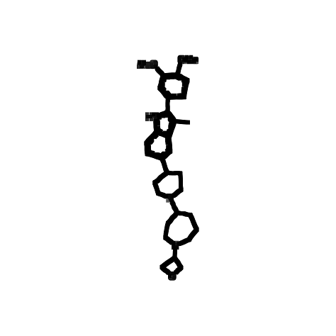 COc1ccc(-c2[nH]c3ccc(C4CCN(C5CCCN(C6COC6)CC5)CC4)cc3c2C)cc1OC